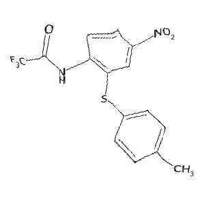 Cc1ccc(Sc2cc([N+](=O)[O-])ccc2NC(=O)C(F)(F)F)cc1